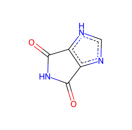 O=C1NC(=O)c2[nH]cnc21